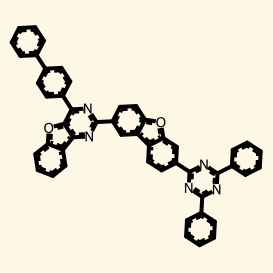 c1ccc(-c2ccc(-c3nc(-c4ccc5oc6cc(-c7nc(-c8ccccc8)nc(-c8ccccc8)n7)ccc6c5c4)nc4c3oc3ccccc34)cc2)cc1